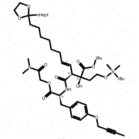 CC#CCOc1ccc(C[C@H](NC(=O)[C@@H](/C=C/CCCCCCC2(CCCCCCC)OCCO2)[C@@](O)(CCO[Si](C)(C)C(C)(C)C)C(=O)OC(C)(C)C)C(=O)OCC(=O)N(C)C)cc1